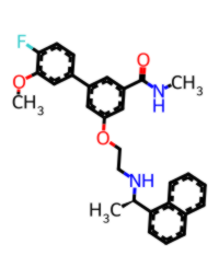 CNC(=O)c1cc(OCCN[C@H](C)c2cccc3ccccc23)cc(-c2ccc(F)c(OC)c2)c1